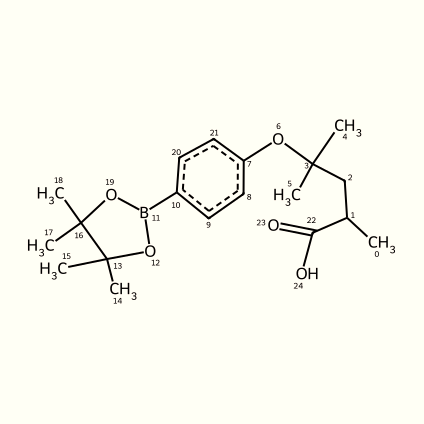 CC(CC(C)(C)Oc1ccc(B2OC(C)(C)C(C)(C)O2)cc1)C(=O)O